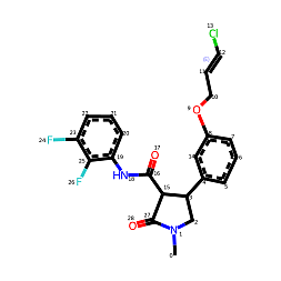 CN1CC(c2cccc(OC/C=C/Cl)c2)C(C(=O)Nc2cccc(F)c2F)C1=O